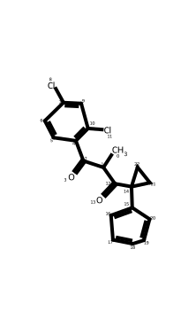 CC(C(=O)c1ccc(Cl)cc1Cl)C(=O)C1(c2ccccc2)CC1